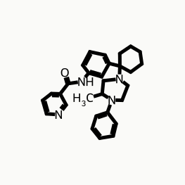 CC1CN(C2(c3cccc(NC(=O)c4cccnc4)c3)CCCCC2)CCN1c1ccccc1